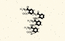 NOC(=O)c1ccccc1C(=O)[O-].NOC(=O)c1ccccc1C(=O)[O-].NOC(=O)c1ccccc1C(=O)[O-].NOC(=O)c1ccccc1C(=O)[O-].[Zr+4]